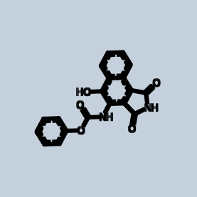 O=C(Nc1c2c(c3ccccc3c1O)C(=O)NC2=O)Oc1ccccc1